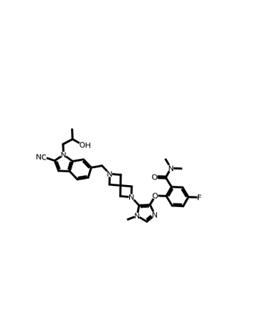 CC(O)Cn1c(C#N)cc2ccc(CN3CC4(C3)CN(c3c(Oc5ccc(F)cc5C(=O)N(C)C)ncn3C)C4)cc21